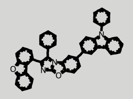 c1ccc(-c2c(-c3cccc4oc5ccccc5c34)nc3oc4ccc(-c5ccc6c(c5)c5ccccc5n6-c5ccccc5)cc4n23)cc1